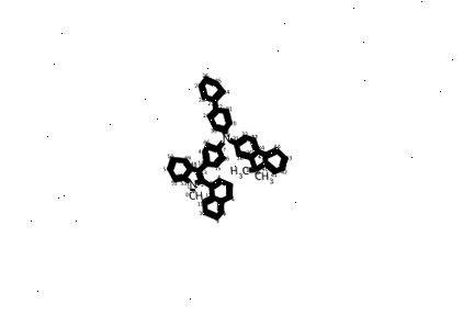 Cn1c(-c2cccc3ccccc23)c(-c2ccc(N(c3ccc(-c4ccccc4)cc3)c3ccc4c(c3)C(C)(C)c3ccccc3-4)cc2)c2ccccc21